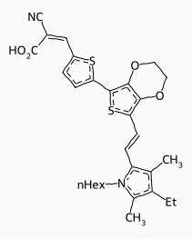 CCCCCCn1c(C)c(CC)c(C)c1/C=C/c1sc(-c2ccc(/C=C(/C#N)C(=O)O)s2)c2c1OCCO2